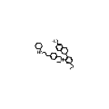 CCN(Cc1ccc(CCNC2CCCCC2)cc1)c1cc(OC)ccc1C1CCc2cc(O)ccc2C1